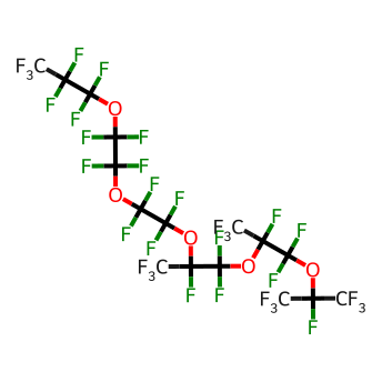 FC(F)(F)C(F)(F)C(F)(F)OC(F)(F)C(F)(F)OC(F)(F)C(F)(F)OC(F)(C(F)(F)F)C(F)(F)OC(F)(C(F)(F)F)C(F)(F)OC(F)(C(F)(F)F)C(F)(F)F